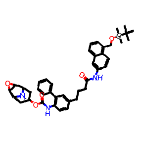 CN1C2CC(OC(=O)Nc3ccc(CCCC(=O)Nc4ccc5c(CO[Si](C)(C)C(C)(C)C)cccc5c4)cc3-c3ccccc3)CC1C1OC12